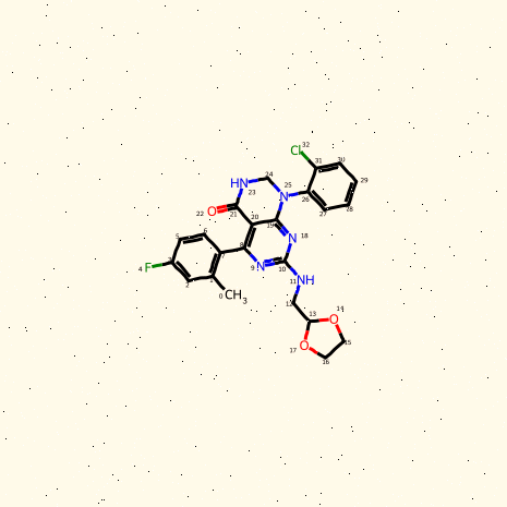 Cc1cc(F)ccc1-c1nc(NCC2OCCO2)nc2c1C(=O)NCN2c1ccccc1Cl